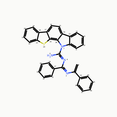 C=C(/N=C(\N=C(/N)n1c2ccccc2c2ccc3c4ccccc4sc3c21)c1ccccc1)c1ccccc1